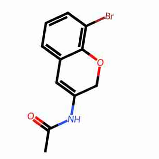 CC(=O)NC1=Cc2cccc(Br)c2OC1